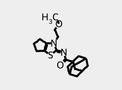 COCCn1c2c(sc1=NC(=O)C13CC4CC(CC(C4)C1)C3)CCC2